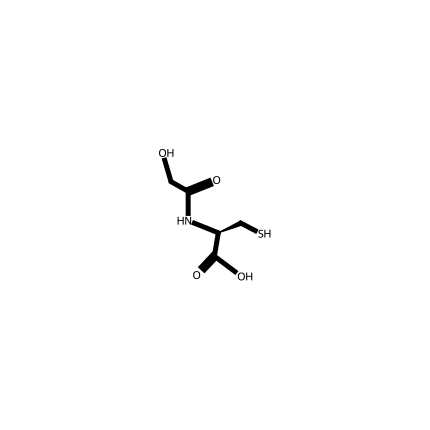 O=C(CO)N[C@@H](CS)C(=O)O